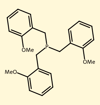 COc1ccccc1CP(Cc1ccccc1OC)Cc1ccccc1OC